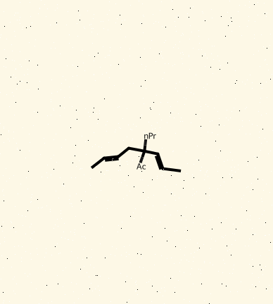 CC=CCC(C=CC)(CCC)C(C)=O